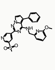 COc1cccc(CNc2nc(-c3cncc(S(C)(=O)=O)c3)nn3ccc(-c4ccccc4)c23)n1